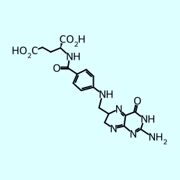 Nc1nc2c(c(=O)[nH]1)=NC(CNc1ccc(C(=O)N[C@@H](CCC(=O)O)C(=O)O)cc1)CN=2